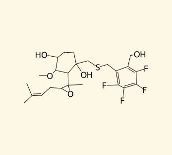 COC1C(O)CCC(O)(CSCc2c(F)c(F)c(F)c(F)c2CO)C1C1(C)OC1CC=C(C)C